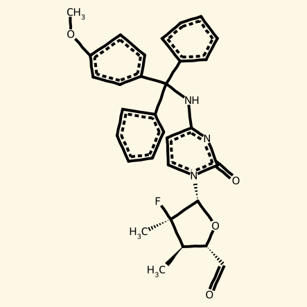 COc1ccc(C(Nc2ccn([C@@H]3O[C@H](C=O)[C@@H](C)[C@@]3(C)F)c(=O)n2)(c2ccccc2)c2ccccc2)cc1